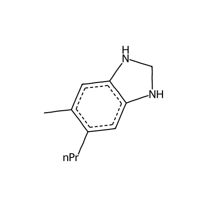 CCCc1cc2c(cc1C)NCN2